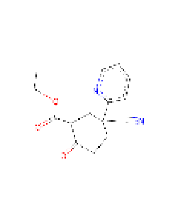 CCOC(=O)C1CC(C#N)(c2ccccn2)CCC1=O